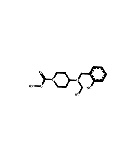 CC(C)CN(Cc1ccccc1C#N)C1CCN(C(=O)OC(C)(C)C)CC1